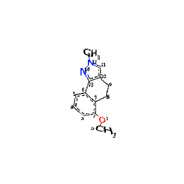 COc1cccc2c1CCc1cn(C)nc1-2